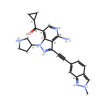 Cn1cc2ccc(C#Cc3nn(C4CCNC4)c4c(C(=O)C5CC5)cnc(N)c34)cc2n1